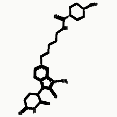 CN[C@H]1CC[C@H](C(=O)NCCCCCc2ccc3c(c2)n(C)c(=O)n3C2CCC(=O)NC2=O)CC1